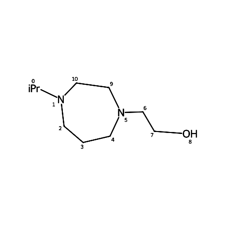 CC(C)N1CCCN(CCO)CC1